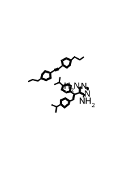 CC(C)c1ccc(C=C(c2ccc(C(C)C)cc2)c2c(N)ncnc2N)cc1.CCCc1ccc(C#Cc2ccc(CCC)cc2)cc1